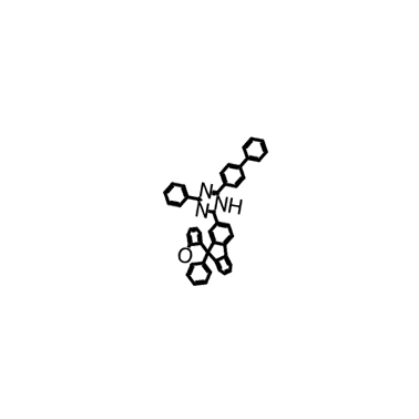 c1ccc(C2=NC(c3ccc4c(c3)C3(c5ccccc5Oc5ccccc53)c3ccccc3-4)NC(c3ccc(-c4ccccc4)cc3)=N2)cc1